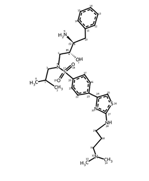 CC(C)CN(C[C@@H](O)[C@@H](N)Cc1ccccc1)S(=O)(=O)c1ccc(-c2csc(NCCCN(C)C)n2)cc1